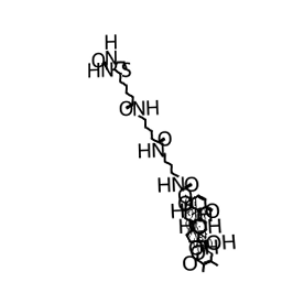 CC1=C(C)C(=O)O[C@@H]([C@](C)(O)[C@]2(O)CC[C@@]3(O)[C@@H]4C[C@H]5O[C@]56[C@@H](OC(=O)NCCCCCNC(=O)CCCCCNC(=O)CCCCC5SCC7NC(=O)NC75)C=CC(=O)[C@]6(C)[C@H]4CC[C@]23C)C1